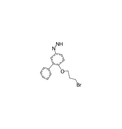 N=Nc1ccc(OCCCBr)c(-c2ccccc2)c1